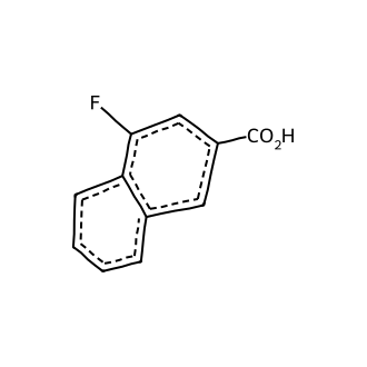 O=C(O)c1cc(F)c2ccccc2c1